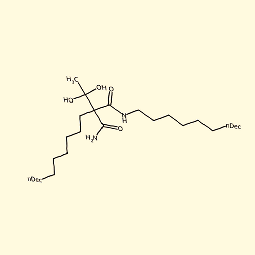 CCCCCCCCCCCCCCCCNC(=O)C(CCCCCCCCCCCCCCCC)(C(N)=O)C(C)(O)O